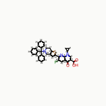 O=C(O)c1cn(C2CC2)c2nc(-c3cc4c(s3)CCN(C(c3ccccc3)(c3ccccc3)c3ccccc3)C4)c(F)cc2c1=O